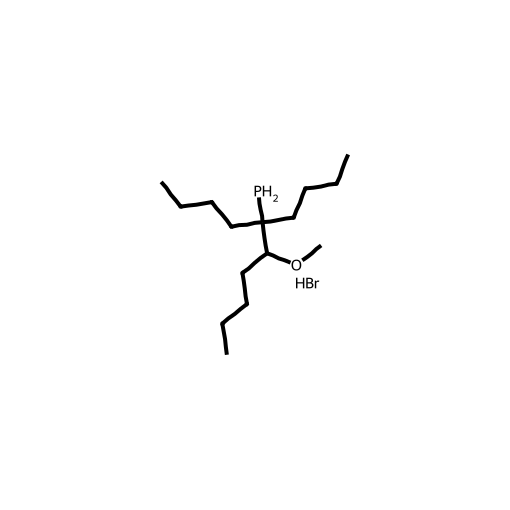 Br.CCCCC(OC)C(P)(CCCC)CCCC